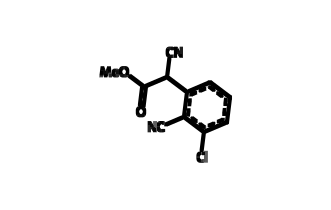 COC(=O)C(C#N)c1cccc(Cl)c1C#N